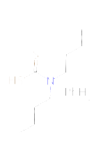 CCCCN(CCCC)C(=S)S.[PbH2]